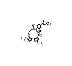 CCC1(CNc2ccc3c(c2)N/C2=N\C(=O)c4cc(C)nc(c4)-c4cnn(C)c4OCCCC(C4CC4)N23)COC1